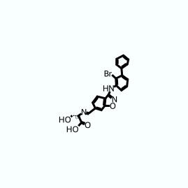 O=C(O)[C@H](CO)N=Cc1ccc2c(Nc3cccc(-c4ccccc4)c3Br)noc2c1